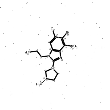 NCCn1c(N2CC[C@H](N)C2)nc2c([N+](=O)[O-])c(Br)c(Br)cc21